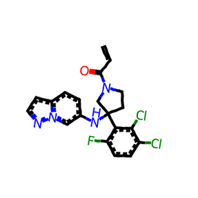 C=CC(=O)N1CCC(Nc2ccc3ccnn3c2)(c2c(F)ccc(Cl)c2Cl)C1